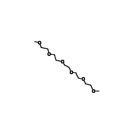 COCCOCCOCCOCCOCCOC